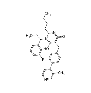 CCCCc1nc(=O)c(Cc2ccc(-c3ccncc3C)cc2)c(O)n1[C@@H](CC)c1cccc(F)c1